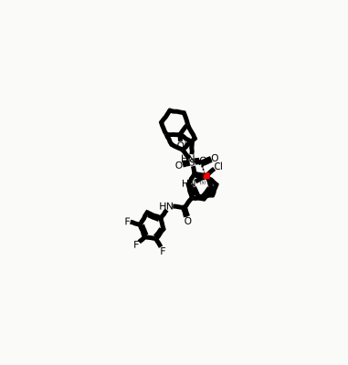 O=C(Nc1cc(F)c(F)c(F)c1)c1ccc(Cl)c(S(=O)(=O)C2CC3CCCC(C2)C3(O)CNC(=O)[C@@H]2CCCN2)c1